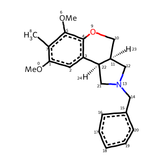 COc1cc2c(c(OC)c1C)OC[C@H]1CN(Cc3ccccc3)C[C@@H]21